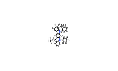 CC1(C)c2ccccc2N(c2ccccc2)c2cc3c(cc21)c1cccc2c1n3-c1ccccc1C2(C)C